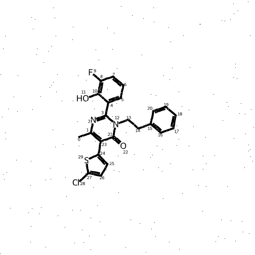 Cc1nc(-c2cccc(F)c2O)n(CCc2ccccc2)c(=O)c1-c1ccc(Cl)s1